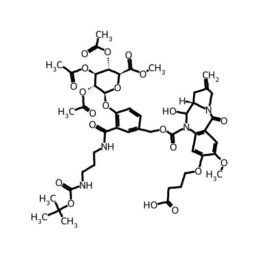 C=C1C[C@H]2C(O)N(C(=O)OCc3ccc(O[C@@H]4O[C@H](C(=O)OC)[C@@H](OC(C)=O)[C@H](OC(C)=O)[C@H]4OC(C)=O)c(C(=O)NCCCNC(=O)OC(C)(C)C)c3)c3cc(OCCCC(=O)O)c(OC)cc3C(=O)N2C1